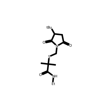 CCNC(=O)C(C)(C)SCN1C(=O)CC(C(C)(C)C)C1=O